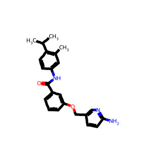 Cc1cc(NC(=O)c2cccc(OCc3ccc(N)nc3)c2)ccc1C(C)C